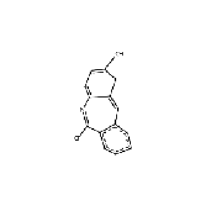 CC1=CC=C2N=C(Cl)c3ccccc3C=C2C1